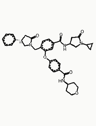 O=C(NC1CCOCC1)c1ccc(Oc2cc(C(=O)NC3CC(=O)N(C4CC4)C3)ccc2CN2C[C@H](c3ccccc3)CC2=O)cc1